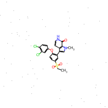 CCS(=O)(=O)c1ccc(Oc2ccc(Cl)c(Cl)c2)c(-c2cn(C)c3c(=O)[nH]ccc23)c1